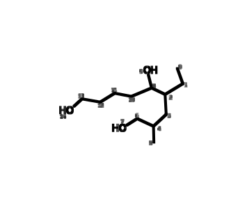 CCC(CC(C)CO)C(O)CCCCO